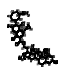 C[C@@H]1CC2C3CCC4=CC(=O)C=C[C@]4(C)[C@@]3(F)[C@@H](O)C[C@]2(C)[C@@]1(O)C(=O)[CH]COC(=O)c1cn(C2CC2)c2c(Cl)c(N3CCCC[C@@H](N)C3)c(F)cc2c1=O